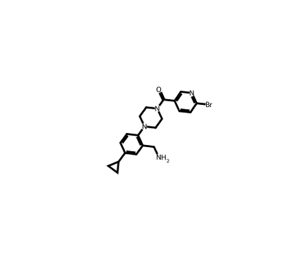 NCc1cc(C2CC2)ccc1N1CCN(C(=O)c2ccc(Br)nc2)CC1